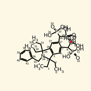 CCC1(CC)c2cc(C(P(=O)(O)O)P(=O)(O)O)c(C(P(=O)(O)O)P(=O)(O)O)cc2C(CC)(CC)N1Cc1ccccc1